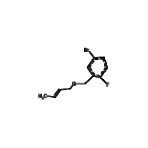 CC=CCOCc1cc(Br)ccc1F